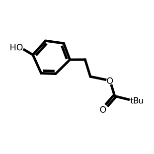 CC(C)(C)C(=O)OCCc1ccc(O)cc1